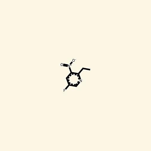 CCc1ncc(F)cc1[N+](=O)[O-]